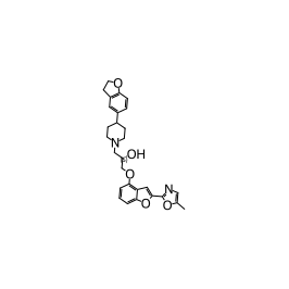 Cc1cnc(-c2cc3c(OC[C@@H](O)CN4CCC(c5ccc6c(c5)CCO6)CC4)cccc3o2)o1